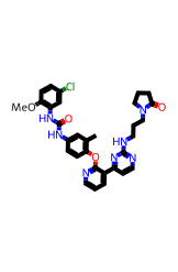 COc1ccc(Cl)cc1NC(=O)Nc1ccc(Oc2ncccc2-c2ccnc(NCCCN3CCCC3=O)n2)c(C)c1